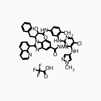 CNC(=O)c1ccc2c(c1)nc(-c1cccc3cccnc13)n2C(Cc1ccccc1)C(O)C(=O)Nc1ccc(C)c(Nc2ncc(Cl)c(Nc3cnn(C)c3)n2)c1.O=C(O)C(F)(F)F